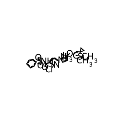 C[Si](C)(C)C1(CCOc2ccn(-c3ccc(C(=O)NS(=O)(=O)c4ccccc4)c(Cl)n3)n2)CC1